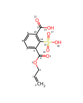 C=CCOC(=O)c1cccc(C(=O)O)c1S(=O)(=O)O